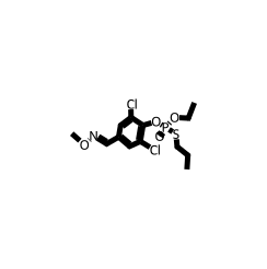 CCCSP(=O)(OCC)Oc1c(Cl)cc(C=NOC)cc1Cl